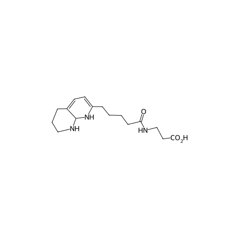 O=C(O)CCNC(=O)CCCCC1=CC=C2CCCNC2N1